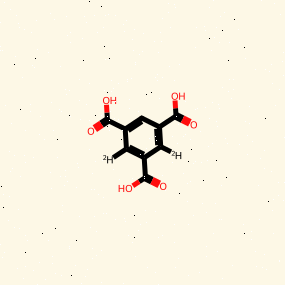 [2H]c1c(C(=O)O)cc(C(=O)O)c([2H])c1C(=O)O